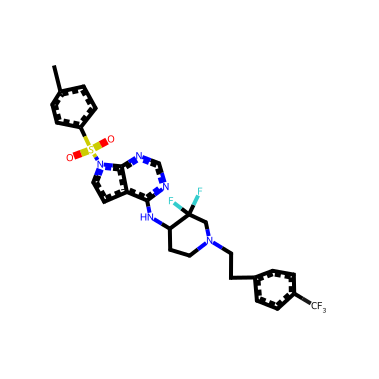 Cc1ccc(S(=O)(=O)n2ccc3c(NC4CCN(CCc5ccc(C(F)(F)F)cc5)CC4(F)F)ncnc32)cc1